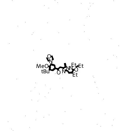 C=C1C(CC(=O)c2cc(N3CCOCC3)c(OC)c(C(C)(C)C)c2)N=C2C=C(CC)C(OC(CC)CC)=NN12